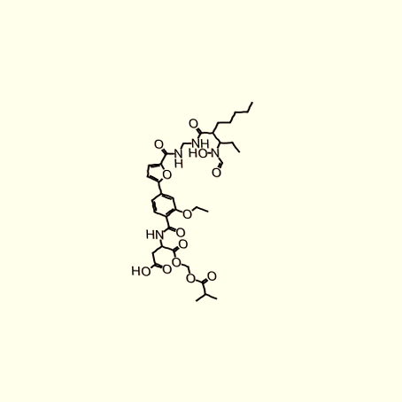 CCCCCC(C(=O)NCNC(=O)c1ccc(-c2ccc(C(=O)NC(CC(=O)O)C(=O)OCOC(=O)C(C)C)c(OCC)c2)o1)C(CC)N(O)C=O